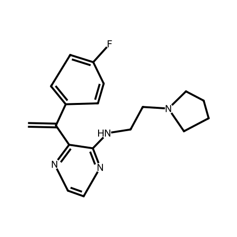 C=C(c1ccc(F)cc1)c1nccnc1NCCN1CCCC1